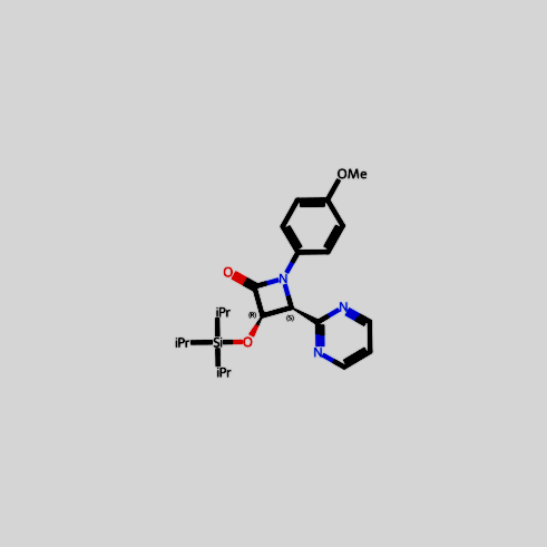 COc1ccc(N2C(=O)[C@H](O[Si](C(C)C)(C(C)C)C(C)C)[C@@H]2c2ncccn2)cc1